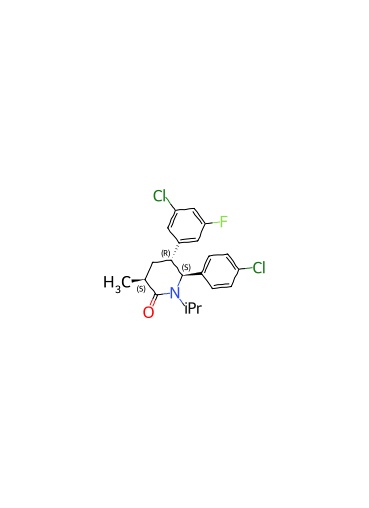 CC(C)N1C(=O)[C@@H](C)C[C@H](c2cc(F)cc(Cl)c2)[C@H]1c1ccc(Cl)cc1